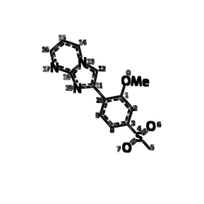 COc1cc(S(C)(=O)=O)ccc1-c1cn2cccnc2n1